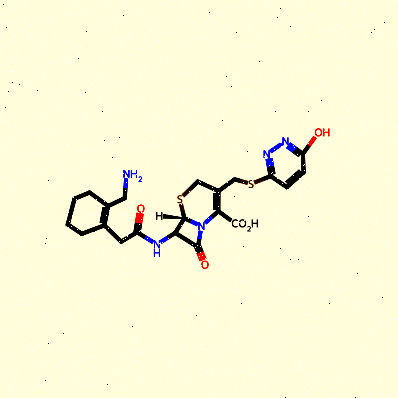 NCC1=C(CC(=O)NC2C(=O)N3C(C(=O)O)=C(CSc4ccc(O)nn4)CS[C@@H]23)CCCC1